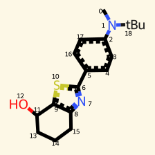 CN(c1ccc(-c2nc3c(s2)C(O)CCC3)cc1)C(C)(C)C